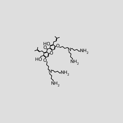 CC(C)=CCc1c(OCCCCN(CCCCN)CCCCN)cc2oc3cc(OCCCCN(CCCCN)CCCCN)c(CO)c(CC=C(C)C)c3c(=O)c2c1O